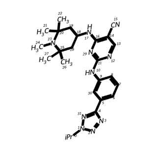 CC(C)n1nnc(-c2cccc(Nc3ncc(C#N)c(NC4CC(C)(C)N(C)C(C)(C)C4)n3)c2)n1